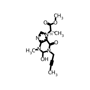 CC#CCN1C(=O)c2c(ncn2[C@@H](C)C(=O)OC)N(C)C1O